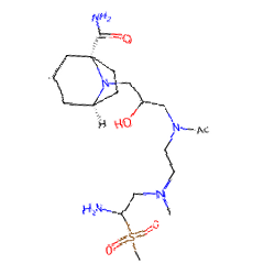 CC(=O)N(CCN(C)CC(N)S(C)(=O)=O)CC(O)CN1[C@@H]2C[CH]C[C@@]1(C(N)=O)CC2